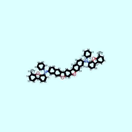 CC(C)c1cccc2c1oc1c(N(c3ccccc3)c3ccc4cc5c(cc4c3)oc3cc4oc6cc7cc(N(c8ccccc8)c8cccc9c8oc8c(C(C)C)cccc89)ccc7cc6c4cc35)cccc12